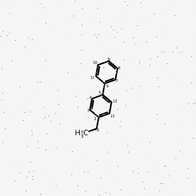 C[C]c1ccc(-c2ccccc2)cc1